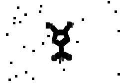 O=[SH](=O)c1cc(Br)c(Br)s1